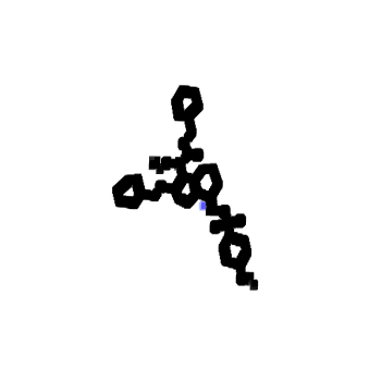 Cc1ccc(S(=O)(=O)O/N=C2\CCCc3c2ccc(OCc2ccccc2)c3N(C)C(=O)OCc2ccccc2)cc1